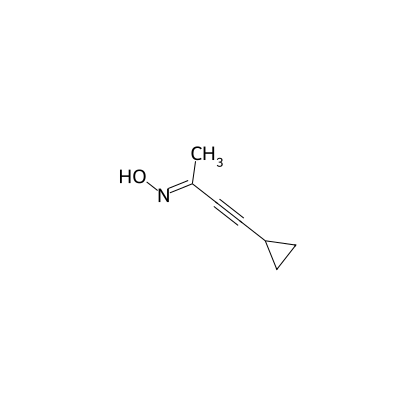 CC(C#CC1CC1)=NO